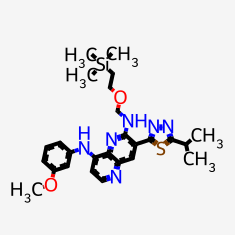 COc1cccc(Nc2ccnc3cc(-c4nnc(C(C)C)s4)c(NCOCC[Si](C)(C)C)nc23)c1